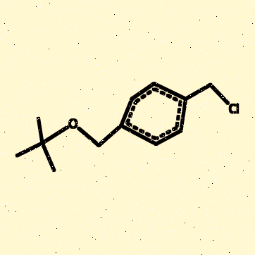 CC(C)(C)OCc1ccc(CCl)cc1